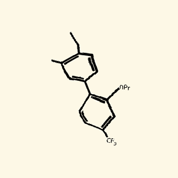 CCCc1cc(C(F)(F)F)ccc1-c1ccc(C)c(C)c1